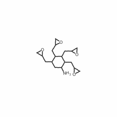 NC1CC(CC2CO2)C(CC2CO2)C(CC2CO2)C1CC1CO1